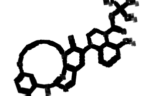 Cc1cccc2c1N(C(=O)OC(C)(C)C)CCN2c1cc2cnc3nc2n(c1=O)CC/C=C\COc1cccc(c1)N3